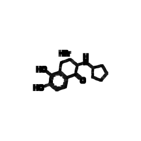 Br.O=C1c2ccc(O)c(O)c2CCC1NC1CCCC1